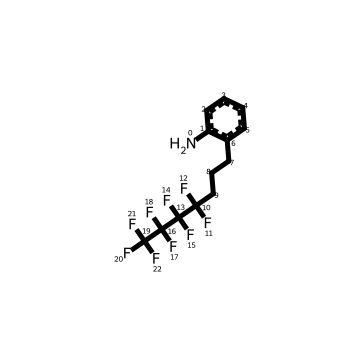 Nc1ccccc1CCCC(F)(F)C(F)(F)C(F)(F)C(F)(F)F